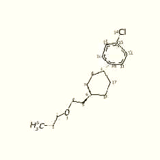 CCCOCC[C@H]1CC[C@H](c2ccc(Cl)cc2)CC1